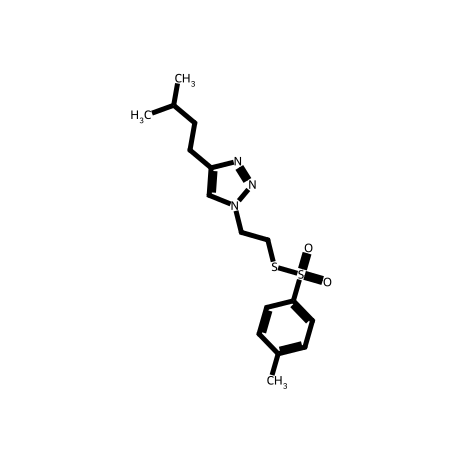 Cc1ccc(S(=O)(=O)SCCn2cc(CCC(C)C)nn2)cc1